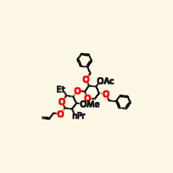 C=CCO[C@@H]1OC(CC)[C@H](O[C@@H]2OC[C@@H](OCc3ccccc3)C(OC(C)=O)C2OCc2ccccc2)C(OC)C1CCC